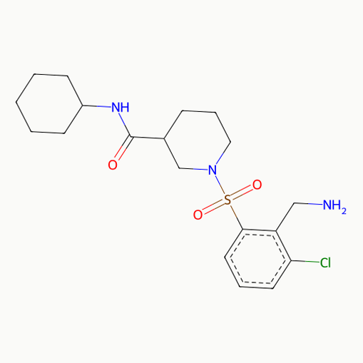 NCc1c(Cl)cccc1S(=O)(=O)N1CCCC(C(=O)NC2CCCCC2)C1